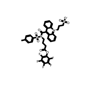 Cc1ccc(S(=O)(=O)N(CCCC(=O)Oc2c(F)c(F)c(F)c(F)c2F)C(=O)c2c3ccccc3[n+](CCCS(=O)(=O)[O-])c3ccccc23)cc1